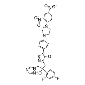 O=c1n(-c2ccc(N3CCN(c4ccc([N+](=O)[O-])cc4[N+](=O)[O-])CC3)cc2)cnn1CC(O)(Cn1cncn1)c1ccc(F)cc1F